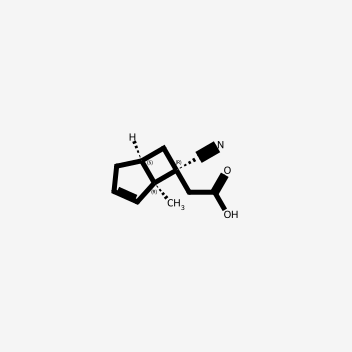 C[C@]12C=CC[C@H]1C[C@@]2(C#N)CC(=O)O